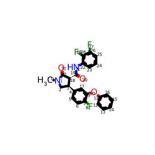 CN1C[C@H](c2ccc(F)c(Oc3ccccc3)c2)[C@@H](C(=O)Nc2cccc(F)c2F)C1=O